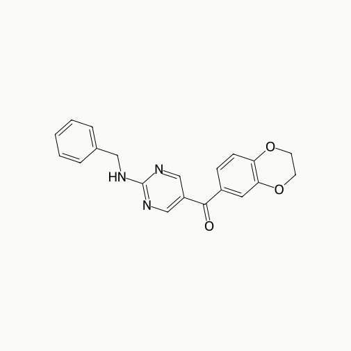 O=C(c1cnc(NCc2ccccc2)nc1)c1ccc2c(c1)OCCO2